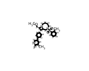 COC[C@@H]1[C@@H](c2ccc(-c3cnc(F)c(C)c3)cc2)C2CN(S(=O)(=O)c3ccccc3C)CCCCN21